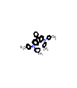 CC1=CCC=C(N(c2c#cc(C)cc2)c2ccc(C3(c4ccc(N(c5ccc(C)cc5)c5ccc(C)cc5)cc4)CCCCC3)cc2)C=C1